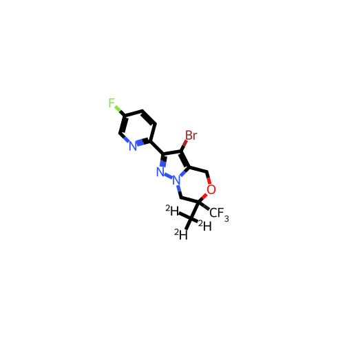 [2H]C([2H])([2H])C1(C(F)(F)F)Cn2nc(-c3ccc(F)cn3)c(Br)c2CO1